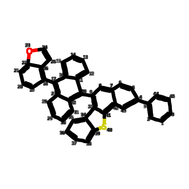 c1ccc(-c2ccc3cc(-c4c5ccccc5c(-c5cccc6occc56)c5ccccc45)c4c5ccccc5sc4c3c2)cc1